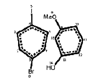 Brc1ccc(I)cc1.COc1cccc(O)c1